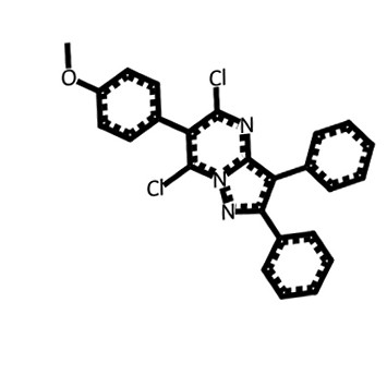 COc1ccc(-c2c(Cl)nc3c(-c4ccccc4)c(-c4ccccc4)nn3c2Cl)cc1